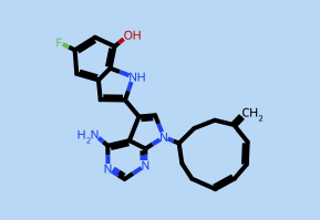 C=C1/C=C\C=C/CCC(n2cc(-c3cc4cc(F)cc(O)c4[nH]3)c3c(N)ncnc32)CC1